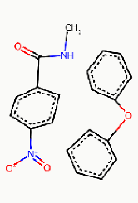 CNC(=O)c1ccc([N+](=O)[O-])cc1.c1ccc(Oc2ccccc2)cc1